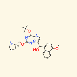 COc1ccc(C(O)c2cnc3c(OC(C)(C)C)nc(OC[C@@H]4CCCN4C)nn23)c2ccccc12